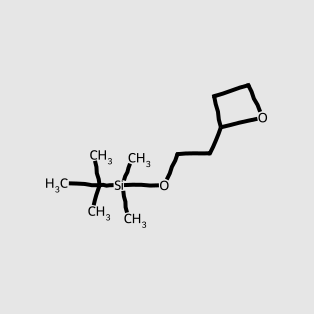 CC(C)(C)[Si](C)(C)OCCC1CCO1